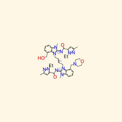 CCn1nc(C)cc1C(=O)/N=c1\n(C)c2cccc(CO)c2n1C/C=C/Cn1/c(=N/C(=O)c2cc(C)nn2CC)n(C)c2cccc(CN3CCOCC3)c21